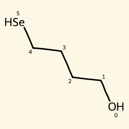 OCCCC[SeH]